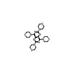 C1CN(c2nc(N3CCSCC3)c3nc(N4CCSCC4)nc(N4CCSCC4)c3n2)CCS1